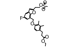 CCOC(=O)CCc1ccc(OCc2cc(F)cc3cc(CCOS(C)(=O)=O)oc23)c(C)c1C